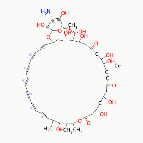 CC1/C=C/C=C/C=C/C=C/C=C/C=C/C=C/C(OC2O[C@@H](C)[C@H](O)[C@@H](N)[C@H]2O)CC(O)C(C(=O)O)C(O)CC(=O)CC(O)C(O)CCC(=O)CC(O)CC(O)CC(=O)OC(C)C(C)C1O.[Ce]